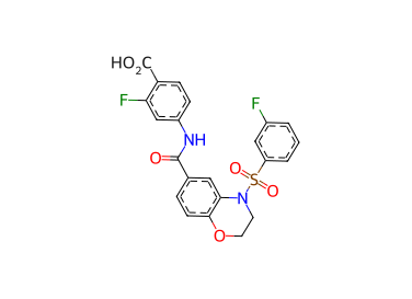 O=C(Nc1ccc(C(=O)O)c(F)c1)c1ccc2c(c1)N(S(=O)(=O)c1cccc(F)c1)CCO2